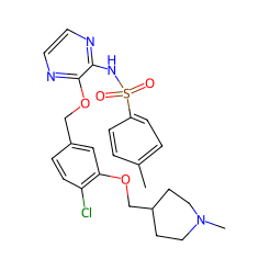 Cc1ccc(S(=O)(=O)Nc2nccnc2OCc2ccc(Cl)c(OCC3CCN(C)CC3)c2)cc1